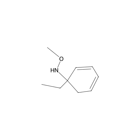 CCC1(NOC)C=CC=CC1